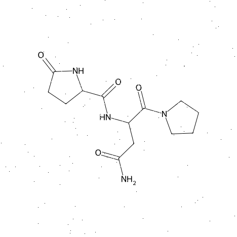 NC(=O)CC(NC(=O)C1CCC(=O)N1)C(=O)N1CCCC1